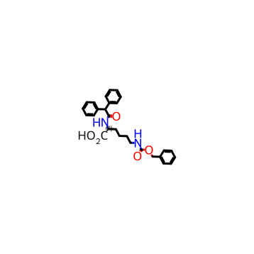 O=C(NCCCC[C@@H](NC(=O)C(c1ccccc1)c1ccccc1)C(=O)O)OCc1ccccc1